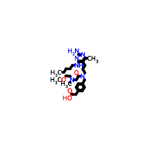 CCCCCNc1nc(N)nc(C)c1CCCN(Cc1ccc(CC(=O)O)cc1)C(=O)CN(C)CCOC